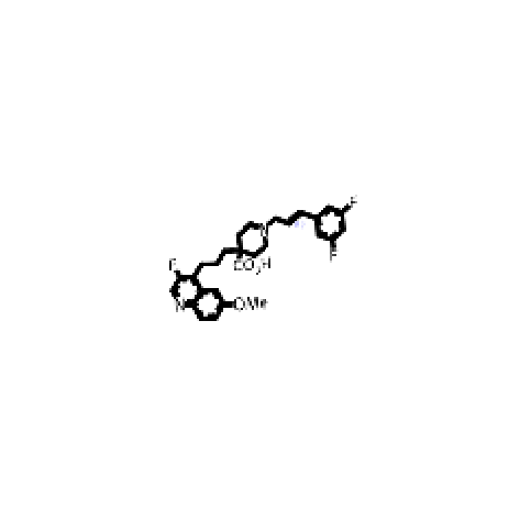 COc1ccc2ncc(F)c(CCCC3(C(=O)O)CCN(C/C=C/c4cc(F)cc(F)c4)CC3)c2c1